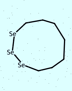 C1CCC[Se][Se][Se]CCC1